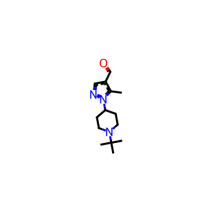 Cc1c(C=O)cnn1C1CCN(C(C)(C)C)CC1